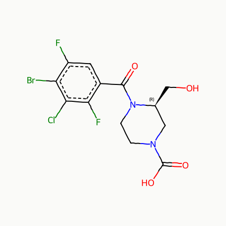 O=C(O)N1CCN(C(=O)c2cc(F)c(Br)c(Cl)c2F)[C@@H](CO)C1